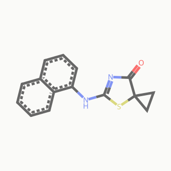 O=C1N=C(Nc2cccc3ccccc23)SC12CC2